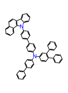 c1ccc(-c2ccc(N(c3ccc(-c4ccc(-n5c6ccccc6c6ccc7ccccc7c65)cc4)cc3)c3ccc(-c4ccccc4)c(-c4ccccc4)c3)cc2)cc1